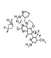 Cc1cc(N)nc(-c2c(Cl)c3c4c(nc(OC[C@@H]5CC(F)(F)CN5C)nc4c2F)N([C@H](C)c2cccnc2N)CCO3)c1C(F)(F)F